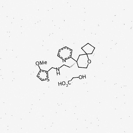 COc1ccsc1CNCC[C@@]1(c2ccccn2)CCOC2(CCCC2)C1.O=C(O)CO